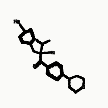 CCC(Cc1ccc(O)cc1)(C(=O)c1ccc(N2CCOCC2)cc1)N(C)C